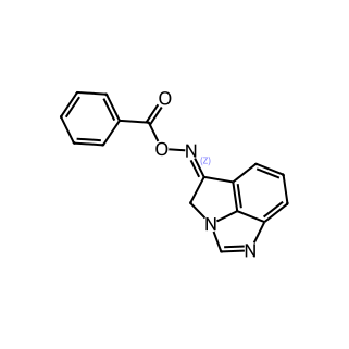 O=C(O/N=C1\Cn2cnc3cccc1c32)c1ccccc1